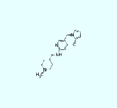 CN1CCC(CNc2ccc(Cn3cccc3Cl)cn2)CC1